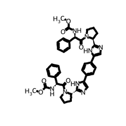 COC(=O)N[C@@H](C(=O)N1CCC[C@H]1c1ncc(-c2ccc(-c3cnc([C@@H]4CCCN4C(=O)[C@H](NC(=O)OC)c4ccccc4)[nH]3)cc2)[nH]1)c1ccccc1